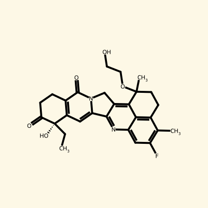 CC[C@@]1(O)C(=O)CCc2c1cc1n(c2=O)Cc2c-1nc1cc(F)c(C)c3c1c2C(C)(OCCO)CC3